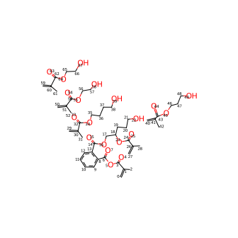 C=C(C)C(=O)OC(=O)c1ccccc1C(=O)OCC(CCCO)OC(=O)C(=C)C.C=C(C)C(=O)OCCCCO.C=C(C)C(=O)OCCCO.C=C(C)C(=O)OCCO.C=C(C)C(=O)OCCO